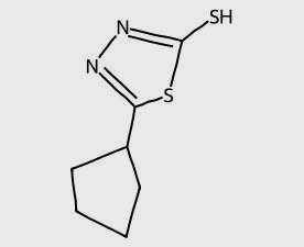 Sc1nnc(C2CCCC2)s1